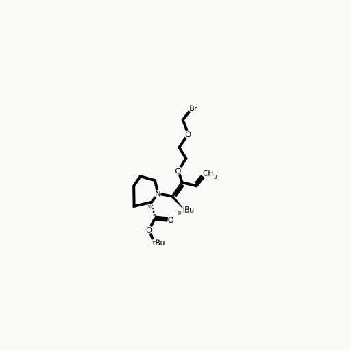 C=CC(OCCOCBr)=C([C@H](C)CC)N1CCCC[C@H]1C(=O)OC(C)(C)C